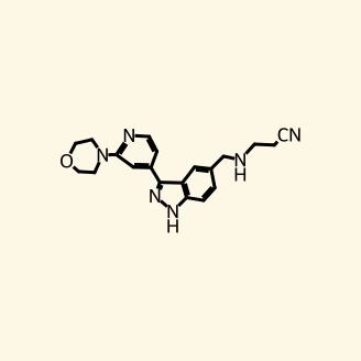 N#CCCNCc1ccc2[nH]nc(-c3ccnc(N4CCOCC4)c3)c2c1